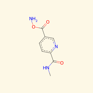 CNC(=O)c1ccc(C(=O)ON)cn1